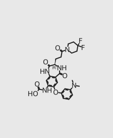 CN(C)c1cccc(Oc2cc3c(cc2NC(=O)O)NC(=O)[C@@H](CCC(=O)N2CCC(F)(F)CC2)NC3=O)c1